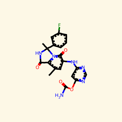 Cc1cc(Nc2cc(OC(N)=O)ncn2)c(=O)n2c1C(=O)NC2(C)c1cccc(F)c1